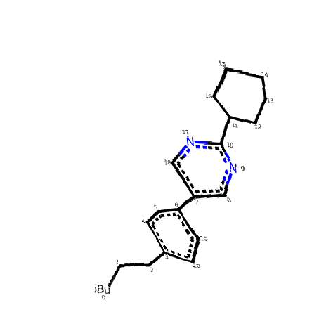 CCC(C)CCc1ccc(-c2cnc(C3CCCCC3)nc2)cc1